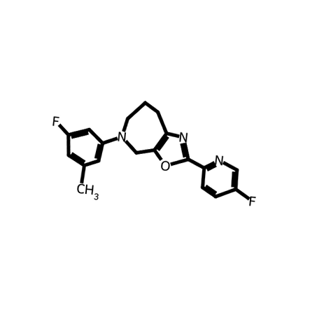 Cc1cc(F)cc(N2CCCc3nc(-c4ccc(F)cn4)oc3C2)c1